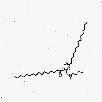 CCCCCCCCCCCCCCCC(=O)OC(CN(C)CCO)OC(=O)CCCCCCCCCCCCCCC